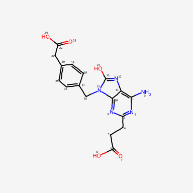 Nc1nc(CCC(=O)O)nc2c1nc(O)n2Cc1ccc(CC(=O)O)cc1